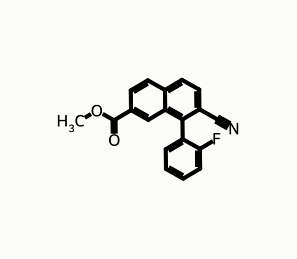 COC(=O)c1ccc2ccc(C#N)c(-c3ccccc3F)c2c1